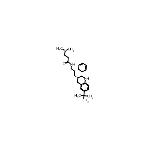 CN(C)CCC(=O)NCCC[C@@H]1Cc2cc(C(C)(C)C)ccc2N[C@H]1C1C=CC=CC1